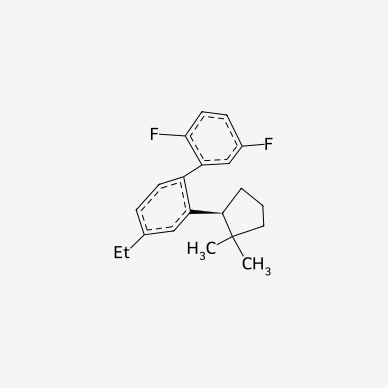 CCc1ccc(-c2cc(F)ccc2F)c([C@H]2CCCC2(C)C)c1